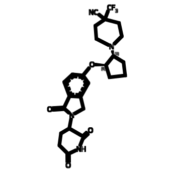 N#CC1(C(F)(F)F)CCN([C@@H]2CCC[C@H]2Oc2ccc3c(c2)CN(C2CCC(=O)NC2=O)C3=O)CC1